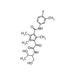 Cc1cc(NC(=O)c2c(C)c(C(=O)C(=O)NC(CO)C(C)O)n(C)c2C)ccc1F